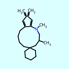 C=C/C=C1/CCCCC2(CCCCC2)CC(C)CN(C)/C1=C/C=C